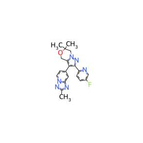 Cc1nc2cc(-c3c(-c4ccc(F)cn4)nn4c3COC(C)(C)C4)ccn2n1